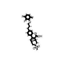 CS(=O)(=O)N1CC2CC(c3ccc(CCCOc4c(F)ccc(F)c4F)cc3)=C(C(=O)O)C(C1)N2